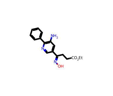 CCOC(=O)CC/C(=N\O)c1cnc(-c2ccccc2)c(N)c1